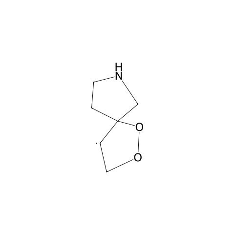 [CH]1COOC12CCNC2